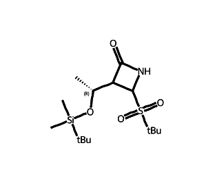 C[C@@H](O[Si](C)(C)C(C)(C)C)C1C(=O)NC1S(=O)(=O)C(C)(C)C